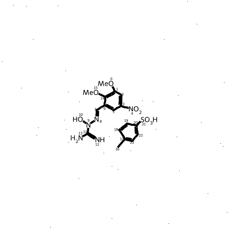 COc1cc([N+](=O)[O-])cc(/C=N/N(O)C(=N)N)c1OC.Cc1ccc(S(=O)(=O)O)cc1